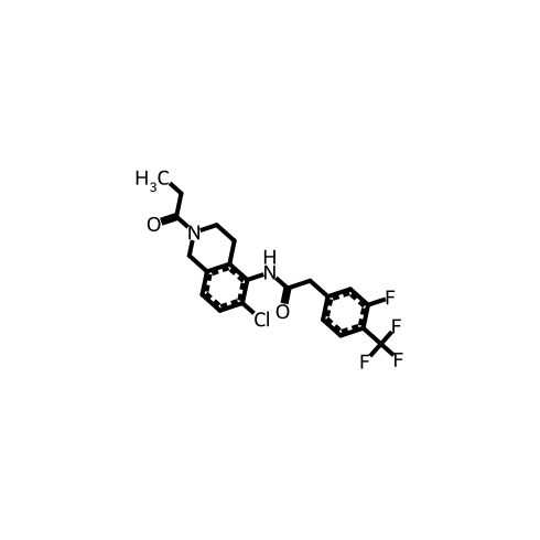 CCC(=O)N1CCc2c(ccc(Cl)c2NC(=O)Cc2ccc(C(F)(F)F)c(F)c2)C1